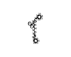 O=C1OC(CCCCSCc2ccccc2)CC1CSCc1ccccc1